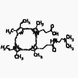 C=CC1=C(C)c2cc3[nH]c(cc4nc(cc5[nH]c(cc1n2)c(C)c5CCC(=O)O)C(CCC(=O)NCCN(C)C)=C4C)c(C)c3C=C